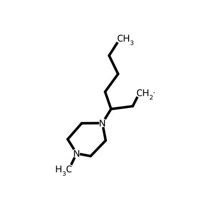 [CH2]CC(CCCC)N1CCN(C)CC1